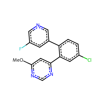 COc1cc(-c2cc(Cl)ccc2-c2cncc(F)c2)ncn1